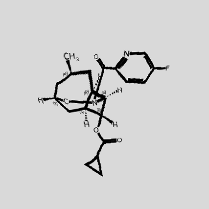 C[C@@H]1C[C@H]2C[C@H]3[C@@H](C1)[C@@H]([C@@H]3OC(=O)C1CC1)N(C(=O)c1ccc(F)cn1)C2